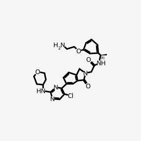 C[C@@H](NC(=O)CN1Cc2ccc(-c3nc(NC4CCOCC4)ncc3Cl)cc2C1=O)c1cccc(OCCN)c1